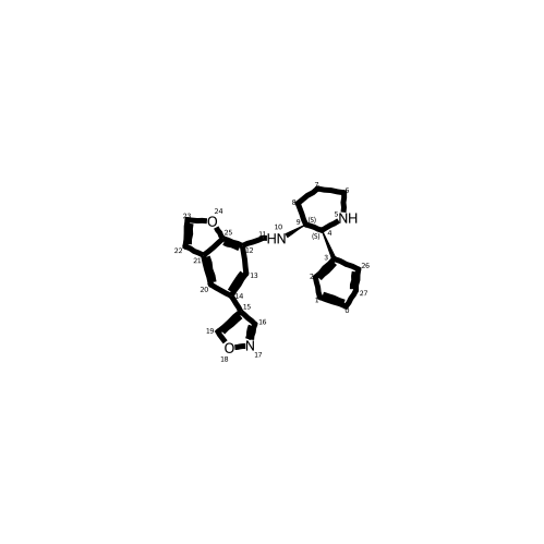 c1ccc([C@@H]2NCCC[C@@H]2NCc2cc(-c3cnoc3)cc3ccoc23)cc1